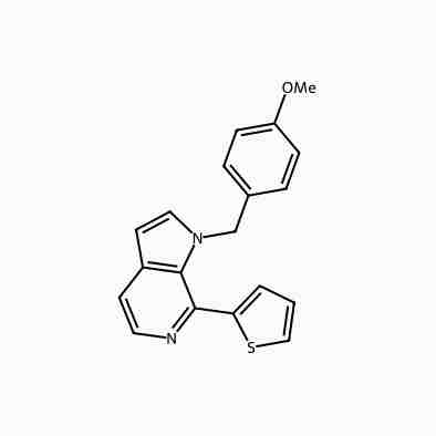 COc1ccc(Cn2ccc3ccnc(-c4cccs4)c32)cc1